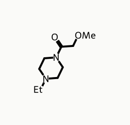 [CH2]CN1CCN(C(=O)COC)CC1